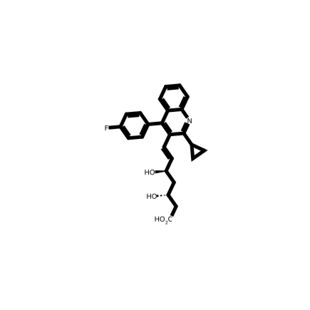 O=C(O)C[C@H](O)C[C@@H](O)C=Cc1c(C2CC2)nc2ccccc2c1-c1ccc(F)cc1